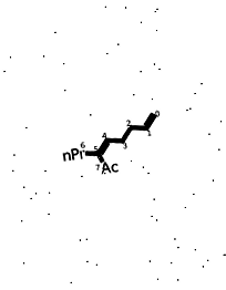 C=CCCC=C(CCC)C(C)=O